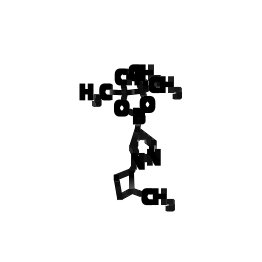 CC1CCC1n1cc(B2OC(C)(C)C(C)(C)O2)cn1